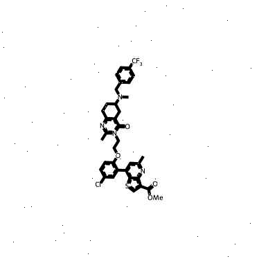 COC(=O)c1csc2c(-c3cc(Cl)ccc3OCCn3c(C)nc4c(c3=O)CC(N(C)Cc3ccc(C(F)(F)F)cc3)CC4)cc(C)nc12